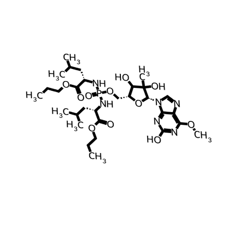 CCCOC(=O)[C@H](CC(C)C)NP(=O)(N[C@@H](CC(C)C)C(=O)OCCC)OC[C@H]1O[C@@H](n2cnc3c(OC)nc(O)nc32)C(C)(O)C1O